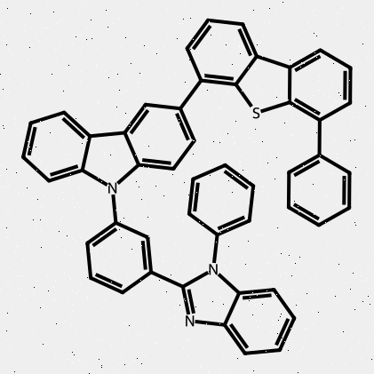 c1ccc(-c2cccc3c2sc2c(-c4ccc5c(c4)c4ccccc4n5-c4cccc(-c5nc6ccccc6n5-c5ccccc5)c4)cccc23)cc1